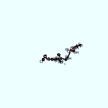 Cc1ncsc1-c1ccc([C@H](C)NC(=O)[C@@H]2C[C@@H](O)CN2C(=O)[C@@H](NC(=O)CCCCCC(=O)N[C@@H]2CCN(CC[C@H](CSc3ccccc3)Nc3ccc(S(=O)(=O)NC(=O)c4ccc(N5CCN(CC6=C(c7ccc(Cl)cc7)CCC(C)(C)C6)CC5)cc4)cc3S(=O)(=O)C(F)(F)F)C2)C(C)(C)C)cc1